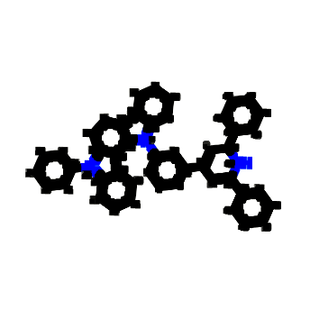 C1=C(c2cccc(-n3c4ccccc4c4ccc5c(c6ccccc6n5-c5ccccc5)c43)c2)C=C(c2ccccc2)NC1c1ccccc1